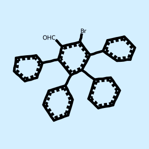 O=Cc1c(Br)c(-c2ccccc2)c(-c2ccccc2)c(-c2ccccc2)c1-c1ccccc1